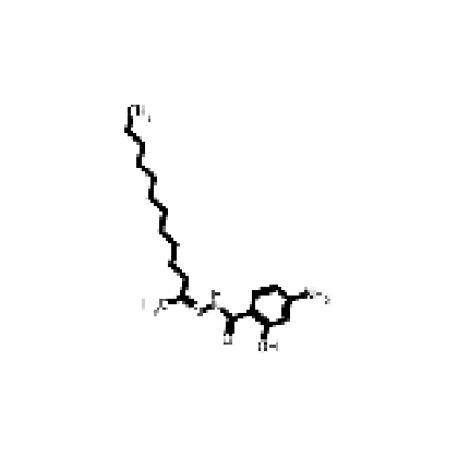 CCCCCCCCCCCC(C)=NNC(=O)c1ccc(N)cc1O